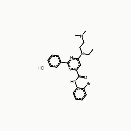 CCN(CCN(C)C)c1cc(C(=O)Nc2ccccc2Br)nc(-c2ccccc2)n1.Cl